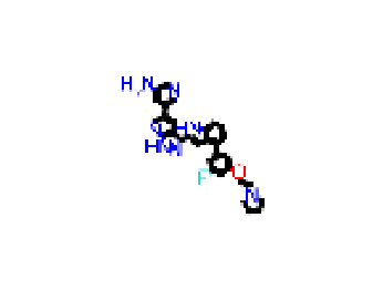 Nc1cncc(-c2cnc3[nH]nc(-c4cc5c(-c6cc(F)cc(OCCN7CCCC7)c6)cccc5[nH]4)c3c2)c1